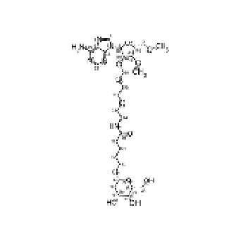 COC[C@H]1O[C@@H](n2cnc3c(N)ncnc32)[C@H](OCOCCOCCNC(=O)CCCCO[C@H]2C[C@@H](O)[C@@H](O)[C@@H](CO)O2)[C@@H]1OC